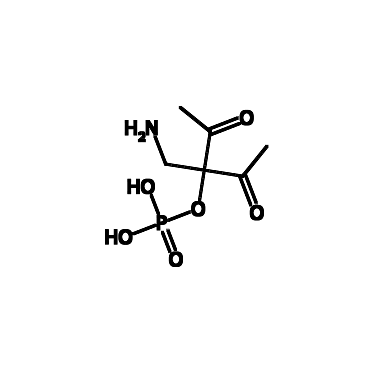 CC(=O)C(CN)(OP(=O)(O)O)C(C)=O